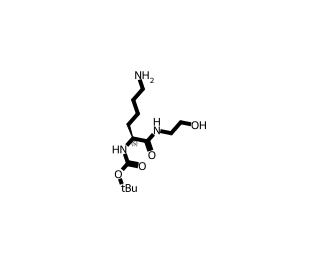 CC(C)(C)OC(=O)N[C@@H](CCCCN)C(=O)NCCO